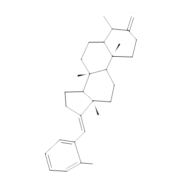 CC1C(=O)CC[C@@]2(C)[C@H]1CC[C@@H]1[C@@H]2CC[C@]2(C)C(=Cc3ccccc3Cl)CC[C@@H]12